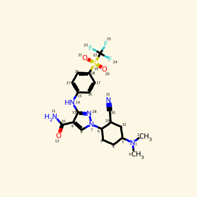 CN(C)C1CCC(n2cc(C(N)=O)c(Nc3ccc(S(=O)(=O)C(F)(F)F)cc3)n2)C(C#N)C1